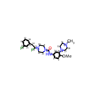 COc1ccc(NC(=O)N2CCN(C(F)Cc3cccc(F)c3)CC2)cc1N1CCN(C)CC1